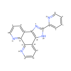 c1ccc(-c2nc3c4cccnc4c4ncccc4c3[nH]2)nc1